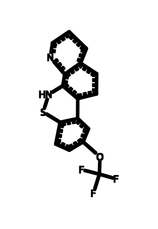 FC(F)(F)Oc1ccc2c(c1)-c1ccc3cccnc3c1NS2